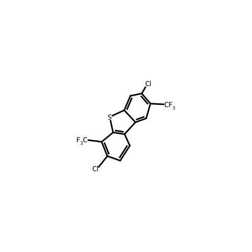 FC(F)(F)c1cc2c(cc1Cl)sc1c(C(F)(F)F)c(Cl)ccc12